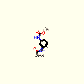 CCCCOC(=O)Nc1cccc(NC(=O)OC)c1